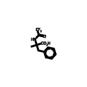 CC(Cc1ccccc1)(NC(=O)C(F)(F)F)C(=O)O